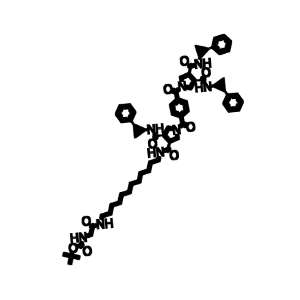 CC(C)(C)OC(=O)NCC(=O)NCCCCCCCCCCCCNC(=O)[C@@H]1CN(C(=O)c2ccc(C(=O)N3C[C@@H](C(=O)N[C@H]4C[C@@H]4c4ccccc4)[C@H](C(=O)N[C@H]4C[C@@H]4c4ccccc4)C3)cc2)C[C@H]1C(=O)N[C@H]1C[C@@H]1c1ccccc1